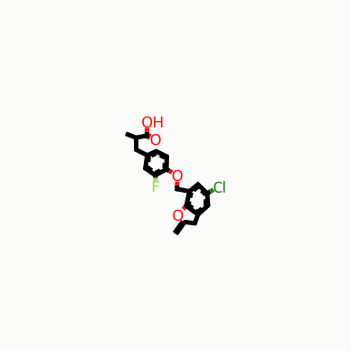 C=C1Cc2cc(Cl)cc(COc3ccc(CC(C)C(=O)O)cc3F)c2O1